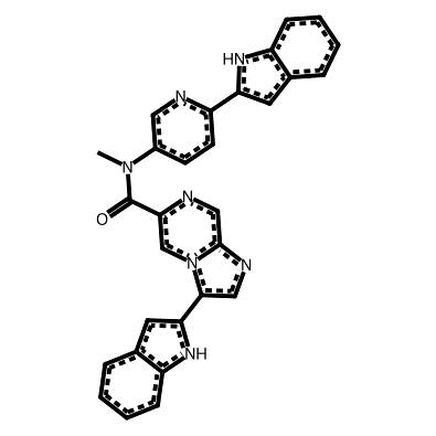 CN(C(=O)c1cn2c(-c3cc4ccccc4[nH]3)cnc2cn1)c1ccc(-c2cc3ccccc3[nH]2)nc1